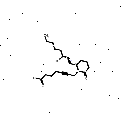 CCCCCC(O)/C=C/[C@H]1CCCC(=O)N1CC#CCCCC(=O)O